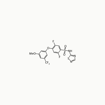 COc1cc(Oc2cc(F)c(S(=O)(=O)Nc3ncns3)cc2F)cc(C(F)(F)F)c1